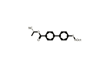 CCCCCCCCSc1ccc(-c2ccc(C(=O)O[C@H](C)C#N)cc2)cc1